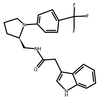 O=C(Cc1c[nH]c2ccccc12)NC[C@H]1CCCN1c1ccc(C(F)(F)F)cc1